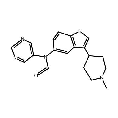 CN1CCC(c2csc3ccc(N(C=O)c4cncnc4)cc23)CC1